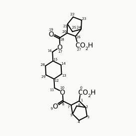 O=C(O)C1C2CCC(C2)C1C(=O)OCC1CCC(COC(=O)C2C3CCC(C3)C2C(=O)O)CC1